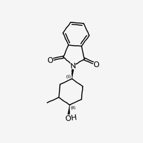 CC1C[C@@H](N2C(=O)c3ccccc3C2=O)CC[C@H]1O